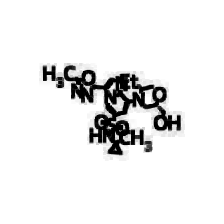 CC[C@H]1CO[C@@H](CO)CN1c1cc(S(=O)(=O)NC2(C)CC2)cn2c(-c3nnc(C)o3)cnc12